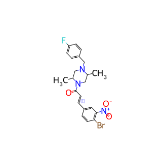 CC1CN(C(=O)/C=C/c2ccc(Br)c([N+](=O)[O-])c2)C(C)CN1Cc1ccc(F)cc1